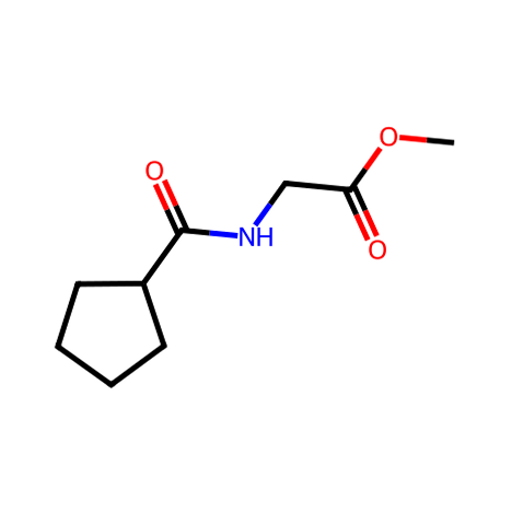 COC(=O)CNC(=O)C1CCCC1